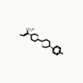 CC=C(C(=O)O)[C@H]1CC[C@H]([C@H]2CC[C@H](c3ccc(C)cc3)CC2)CC1